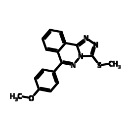 COc1ccc(-c2nn3c(SC)nnc3c3ccccc23)cc1